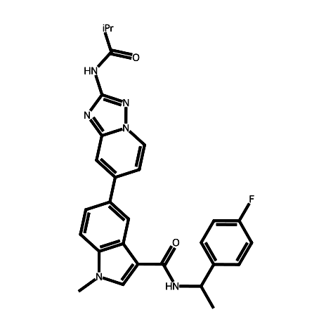 CC(C)C(=O)Nc1nc2cc(-c3ccc4c(c3)c(C(=O)NC(C)c3ccc(F)cc3)cn4C)ccn2n1